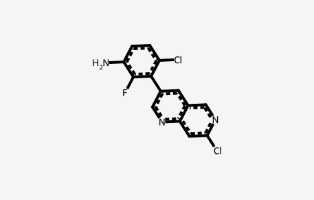 Nc1ccc(Cl)c(-c2cnc3cc(Cl)ncc3c2)c1F